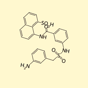 Nc1cccc(CS(=O)(=O)Nc2cccc(C(=O)Nc3cccc4cccc(S(=O)(=O)O)c34)c2)c1